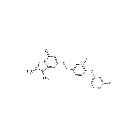 C[C@H]1Cn2c(cc(OCc3ccc(Oc4cccc(F)c4)c(F)c3)nc2=O)N1C